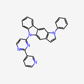 c1ccc(-n2ccc3cc4c(cc32)c2ccccc2n4-c2ccnc(-c3cccnc3)n2)cc1